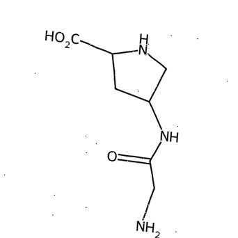 NCC(=O)NC1CNC(C(=O)O)C1